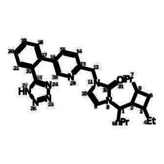 CCCC(C1C(CC)CC1C(C)C)n1ccn(Cc2ccc(-c3ccccc3-c3nnn[nH]3)cn2)c1=O